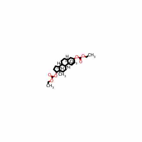 CCOC(=O)OC1C=C[C@@]2(C)[C@@H](CC[C@@H]3[C@@H]2CC[C@]2(C)[C@@H](OC(=O)OCC)CC[C@@H]32)C1